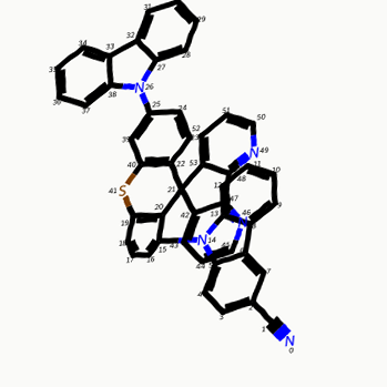 N#Cc1ccc2c(c1)c1ccccc1n2-c1cccc2c1C1(c3ccc(-n4c5ccccc5c5ccccc54)cc3S2)c2cccnc2-c2ncccc21